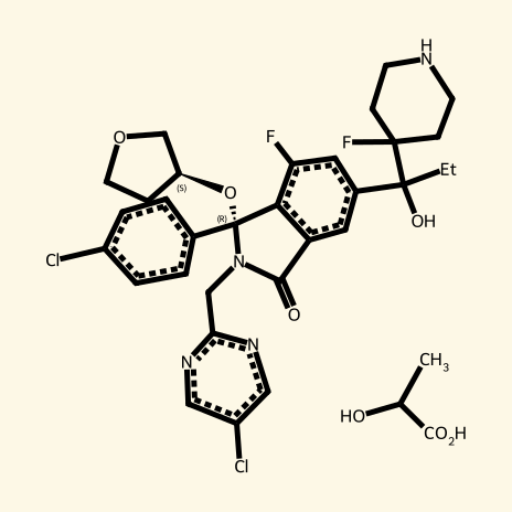 CC(O)C(=O)O.CCC(O)(c1cc(F)c2c(c1)C(=O)N(Cc1ncc(Cl)cn1)[C@@]2(O[C@H]1CCOC1)c1ccc(Cl)cc1)C1(F)CCNCC1